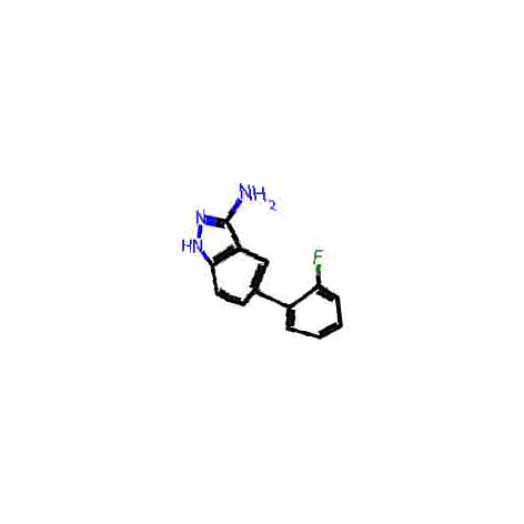 Nc1n[nH]c2ccc(-c3ccccc3F)cc12